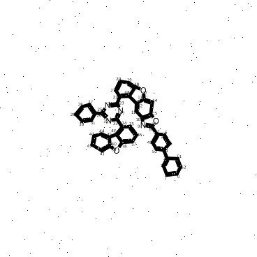 c1ccc(-c2ccc(-c3nc4cc5c(cc4o3)oc3cccc(-c4nc(-c6ccccc6)nc(-c6cccc7oc8ccccc8c67)n4)c35)cc2)cc1